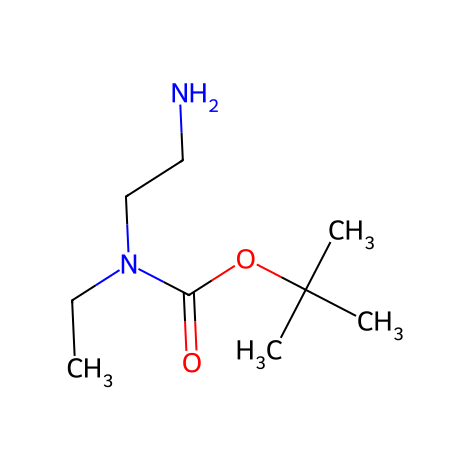 CCN(CCN)C(=O)OC(C)(C)C